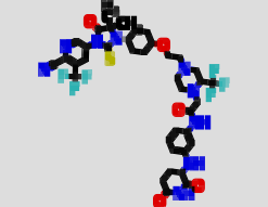 CC1(C)C(=O)N(c2cnc(C#N)c(C(F)(F)F)c2)C(=S)N1[C@H]1CC[C@H](OCCN2CCN(CC(=O)Nc3cccc(NC4CCC(=O)NC4=O)c3)C(C(F)(F)F)C2)CC1